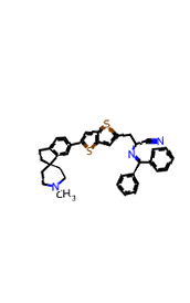 CN1CCC2(CCc3ccc(-c4cc5sc(CC(C#N)N=C(c6ccccc6)c6ccccc6)cc5s4)cc32)CC1